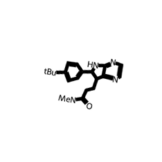 CNC(=O)CCC1c2nccnc2NC1c1ccc(C(C)(C)C)cc1